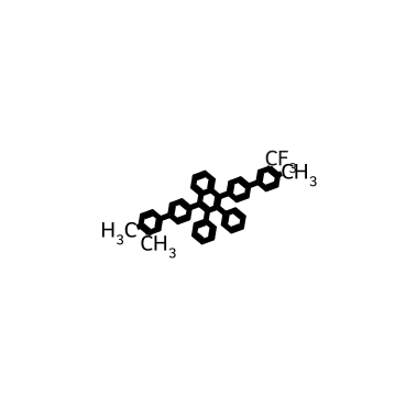 Cc1ccc(-c2ccc(-c3c(-c4ccccc4)c(-c4ccccc4)c(-c4ccc(-c5ccc(C)c(C(F)(F)F)c5)cc4)c4ccccc34)cc2)cc1C